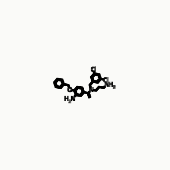 C=C(c1ccc(OCc2ccccc2)c(N)c1)N(CCCN)Cc1cc(Cl)cc(Cl)c1